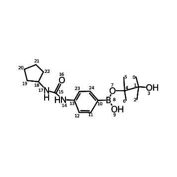 CC(C)(O)C(C)(C)OB(O)c1ccc(NC(=O)NC2CCCC2)cc1